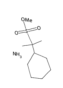 COS(=O)(=O)C(C)(C)C1CCCCC1.N